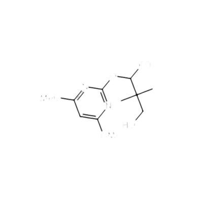 COc1cc(OC)nc(OC(C(=O)O)C(C)(C)CO)n1